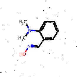 CN(C)c1ccccc1/C=N/O